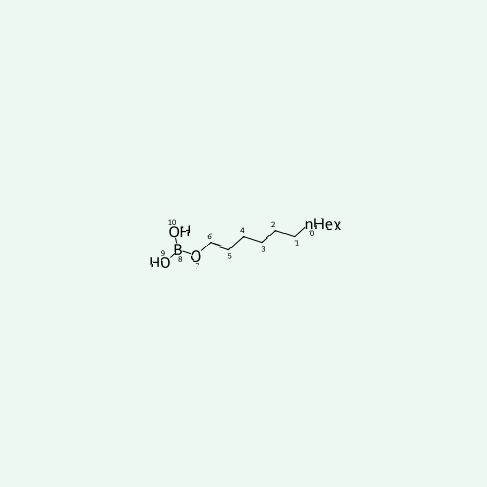 CCCCCCCCCCCCOB(O)O